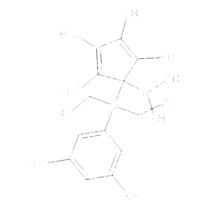 CC1=C(C)[C]([Ti]([CH3])[CH3])([Si](CC(C)C)(CC(C)C)c2cc(C)cc(C)c2)C(C)=C1C